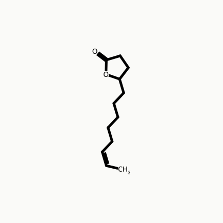 C/C=C\CCCCCC1CCC(=O)O1